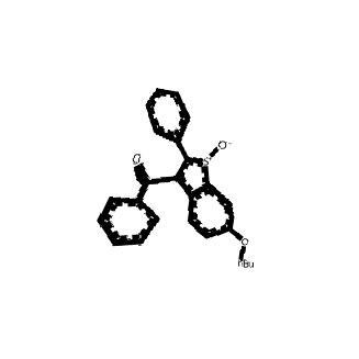 CCCCOc1ccc2c(C(=O)c3ccccc3)c(-c3ccccc3)[s+]([O-])c2c1